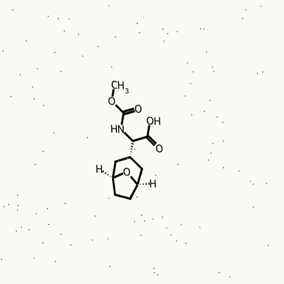 COC(=O)NC(C(=O)O)[C@@H]1C[C@H]2CC[C@@H](C1)O2